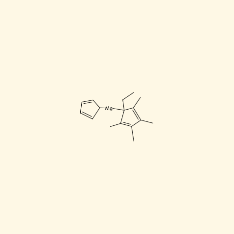 CC[C]1([Mg][CH]2C=CC=C2)C(C)=C(C)C(C)=C1C